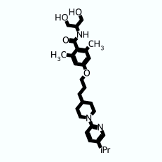 Cc1cc(OCCCC2CCN(c3ccc(C(C)C)cn3)CC2)cc(C)c1C(=O)NC(CO)CO